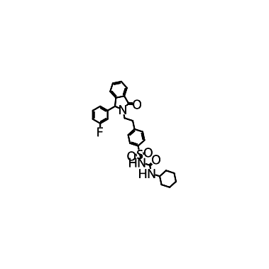 O=C(NC1CCCCC1)NS(=O)(=O)c1ccc(CCN2C(=O)c3ccccc3C2c2cccc(F)c2)cc1